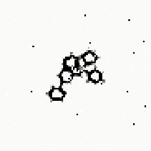 c1ccc(-c2cccc(C[PH](c3ccccc3)(c3ccccc3)c3ccccc3)n2)cc1